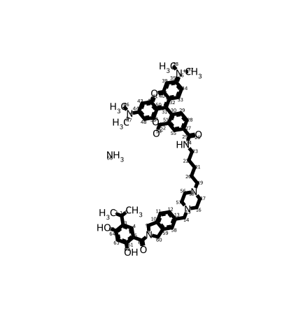 CC(C)c1cc(C(=O)N2Cc3ccc(CN4CCN(CCCCCNC(=O)c5ccc(-c6c7ccc(=[N+](C)C)cc-7oc7cc(N(C)C)ccc67)c(C(=O)[O-])c5)CC4)cc3C2)c(O)cc1O.N